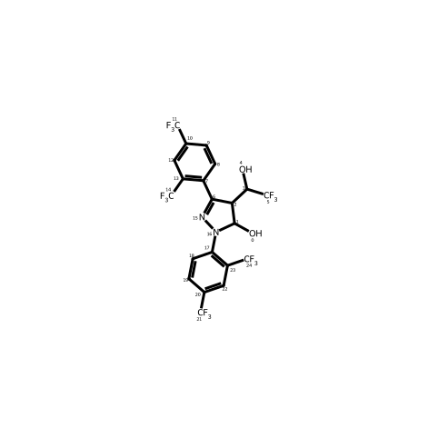 OC1C(C(O)C(F)(F)F)C(c2ccc(C(F)(F)F)cc2C(F)(F)F)=NN1c1ccc(C(F)(F)F)cc1C(F)(F)F